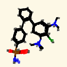 CN(C)c1cc(-c2ccccc2-c2ccc(S(N)(=O)=O)cc2)cc(N(C)C)c1Cl